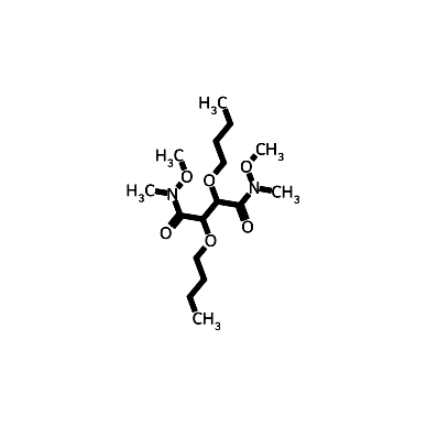 CCCCOC(C(=O)N(C)OC)C(OCCCC)C(=O)N(C)OC